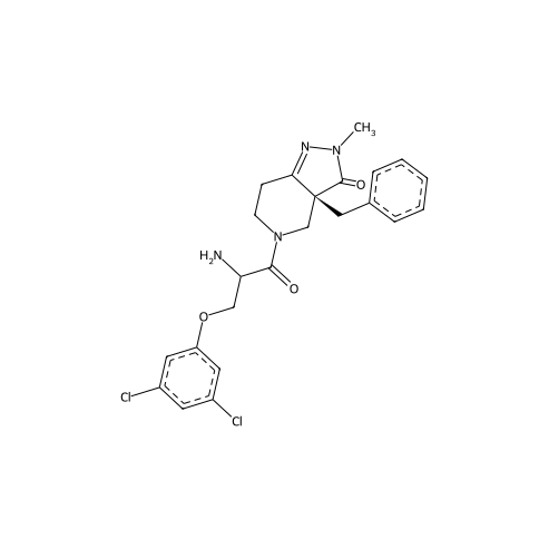 CN1N=C2CCN(C(=O)C(N)COc3cc(Cl)cc(Cl)c3)C[C@@]2(Cc2ccccc2)C1=O